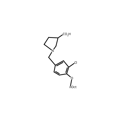 CCCCCCCCOc1ccc(CN2CCC(C(=O)O)C2)cc1Cl